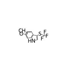 COc1ccc2c(SC(F)(F)F)c[nH]c2c1